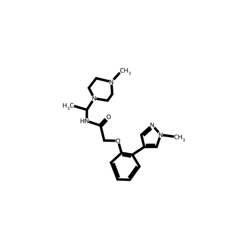 CC(NC(=O)COc1[c]cccc1-c1cnn(C)c1)N1CCN(C)CC1